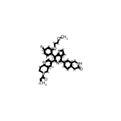 C=CC(=O)N1CCc2ncc(-c3nc(-c4ccc5c(c4)CNC(=O)C5)c4ccsc4c3-c3c(F)cc(F)cc3OCCOC)cc2C1